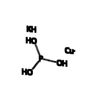 OP(O)O.[Cu].[KH]